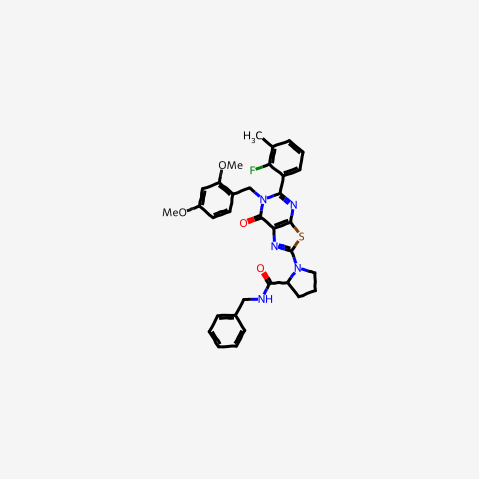 COc1ccc(Cn2c(-c3cccc(C)c3F)nc3sc(N4CCCC4C(=O)NCc4ccccc4)nc3c2=O)c(OC)c1